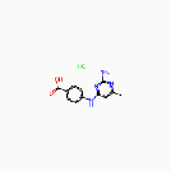 Cc1cc(Nc2ccc(C(=O)O)cc2)nc(N)n1.Cl